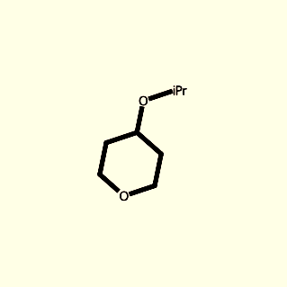 CC(C)OC1CCOCC1